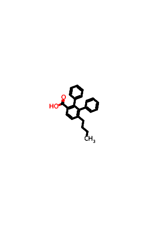 CCCCc1ccc(C(=O)O)c(-c2ccccc2)c1-c1ccccc1